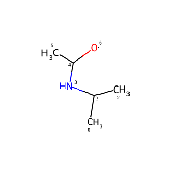 CC(C)NC(C)[O]